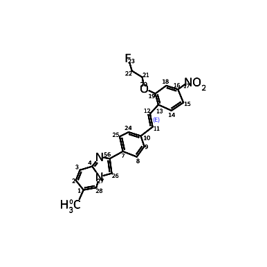 Cc1ccc2nc(-c3ccc(/C=C/c4ccc([N+](=O)[O-])cc4OCCF)cc3)cn2c1